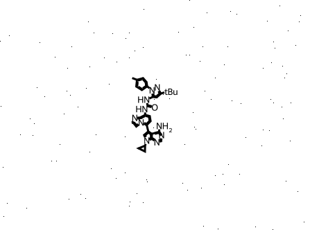 Cc1ccc(-n2nc(C(C)(C)C)cc2NC(=O)Nc2ccc(-c3cn(C4CC4)c4ncnc(N)c34)n3ccnc23)cc1